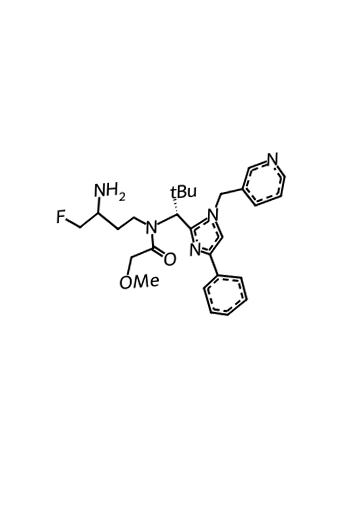 COCC(=O)N(CCC(N)CF)[C@@H](c1nc(-c2ccccc2)cn1Cc1cccnc1)C(C)(C)C